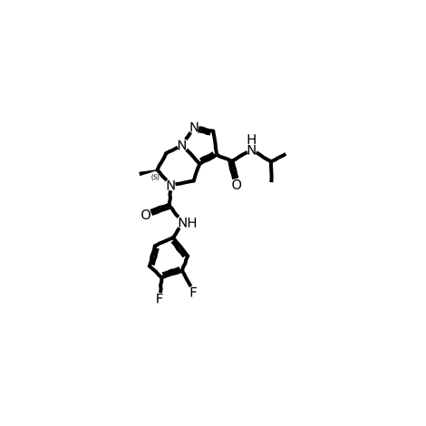 CC(C)NC(=O)c1cnn2c1CN(C(=O)Nc1ccc(F)c(F)c1)[C@@H](C)C2